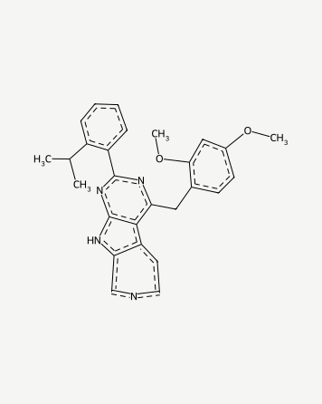 COc1ccc(Cc2nc(-c3ccccc3C(C)C)nc3[nH]c4cnccc4c23)c(OC)c1